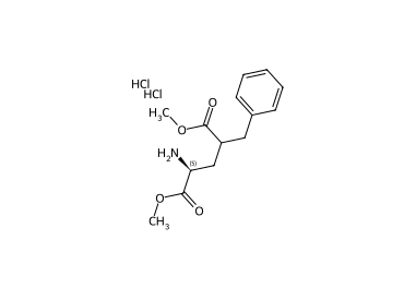 COC(=O)C(Cc1ccccc1)C[C@H](N)C(=O)OC.Cl.Cl